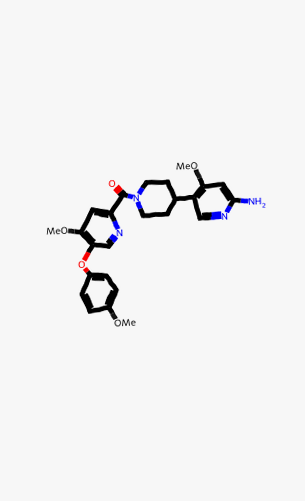 COc1ccc(Oc2cnc(C(=O)N3CCC(c4cnc(N)cc4OC)CC3)cc2OC)cc1